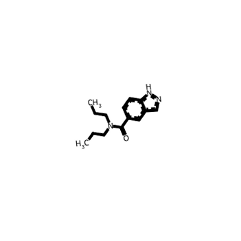 CCCN(CCC)C(=O)c1ccc2[nH]ncc2c1